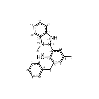 Cc1cc(Cc2ccccc2)c(O)c(N2Nc3ccccc3N2C)c1